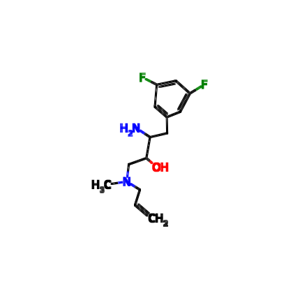 C=CCN(C)CC(O)C(N)Cc1cc(F)cc(F)c1